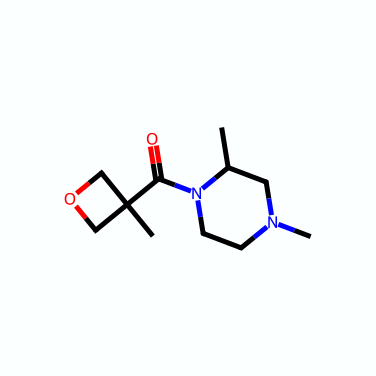 CC1CN(C)CCN1C(=O)C1(C)COC1